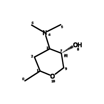 CC1CC(N(C)C)[C@H](O)CO1